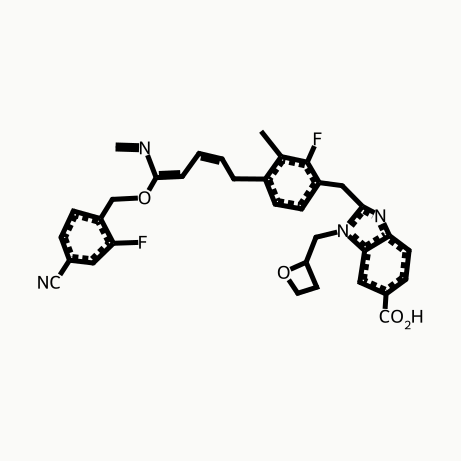 C=N/C(=C\C=C/Cc1ccc(Cc2nc3ccc(C(=O)O)cc3n2CC2CCO2)c(F)c1C)OCc1ccc(C#N)cc1F